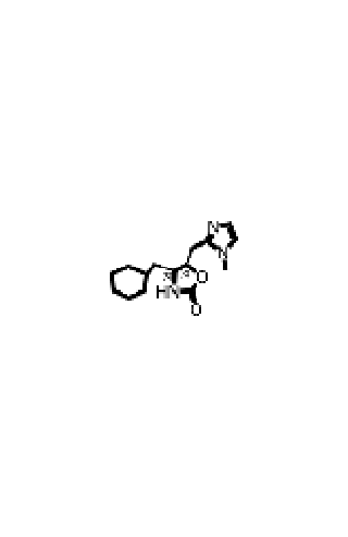 Cn1ccnc1C[C@H]1OC(=O)N[C@H]1CC1CCCCC1